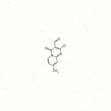 Cc1ccn2c(=O)c(C=O)c(Cl)nc2c1